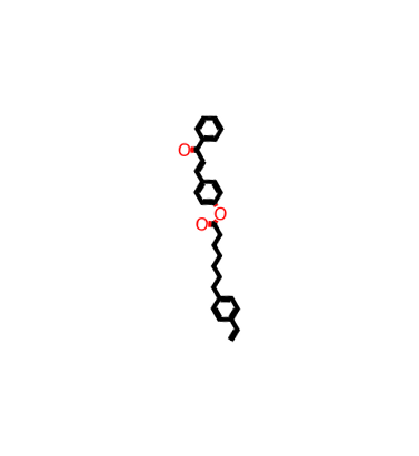 C=Cc1ccc(CCCCCCC(=O)Oc2ccc(C=CC(=O)c3ccccc3)cc2)cc1